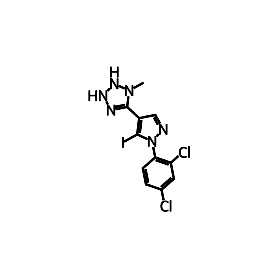 CN1NNN=C1c1cnn(-c2ccc(Cl)cc2Cl)c1I